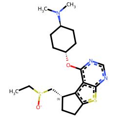 CC[S+]([O-])C[C@H]1CCc2sc3ncnc(O[C@H]4CC[C@H](N(C)C)CC4)c3c21